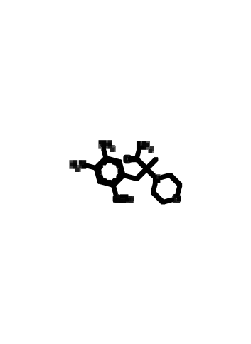 COc1cc(N)c(N)cc1CC(C)(C(N)=O)N1CCOCC1